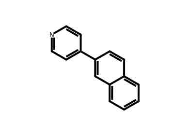 c1ccc2cc(-c3ccncc3)ccc2c1